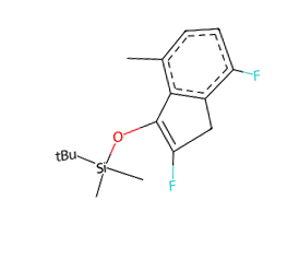 Cc1ccc(F)c2c1C(O[Si](C)(C)C(C)(C)C)=C(F)C2